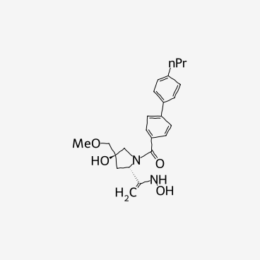 C=C(NO)[C@@H]1C[C@](O)(COC)CN1C(=O)c1ccc(-c2ccc(CCC)cc2)cc1